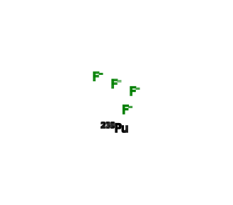 [239Pu].[F-].[F-].[F-].[F-]